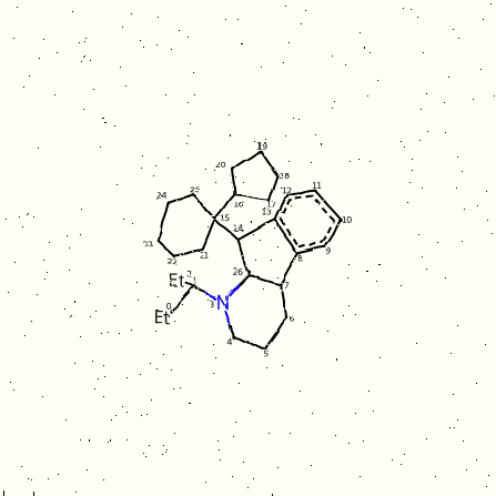 CCC(CC)N1CCCC2c3ccccc3C(C3(C4CCCC4)CCCCC3)C21